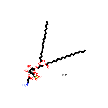 CCCCCCCCCCCCCCCCCC(=O)OCC(CO[C@H]1O[C@H](CS(=O)(=O)[O-])[C@@H](OC(=O)CCN)[C@H](O)[C@H]1O)OC(=O)CCCCCCCCCCCCCCCCC.[Na+]